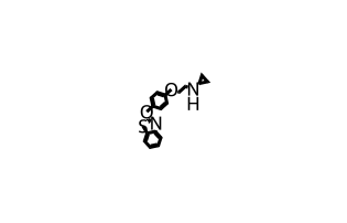 c1ccc2sc(Oc3ccc(OCCNC4CC4)cc3)nc2c1